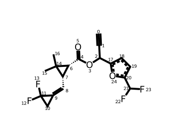 C#CC(OC(=O)[C@@H]1[C@H](/C=C2/CC2(F)F)C1(C)C)c1ccc(C(F)F)o1